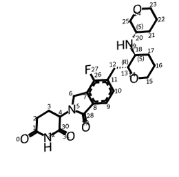 O=C1CCC(N2Cc3c(ccc(C[C@H]4OCCC[C@@H]4N[C@H]4CCCOC4)c3F)C2=O)C(=O)N1